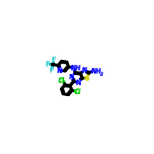 Nc1nc2c(Nc3ccc(C(F)(F)F)nc3)nc(-c3c(Cl)cccc3Cl)nc2s1